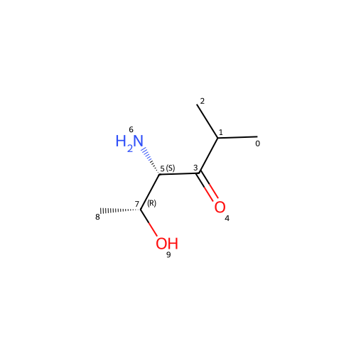 CC(C)C(=O)[C@@H](N)[C@@H](C)O